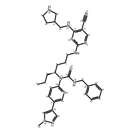 CCC[C@@H](CCCNc1ncc(C#N)c(NCC2CCNC2)n1)N(C(=O)NCc1ccccc1)c1ccc(-c2cnn(C)c2)cn1